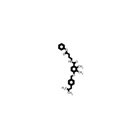 Cc1c(OCc2ccc(CC(C)C)cc2)ccc(C(=O)NCCCC(=O)Oc2ccccc2)c1C